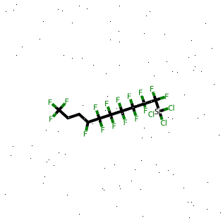 FC(CCC(F)(F)F)C(F)(F)C(F)(F)C(F)(F)C(F)(F)C(F)(F)C(F)(F)[Si](Cl)(Cl)Cl